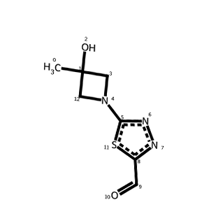 CC1(O)CN(c2nnc(C=O)s2)C1